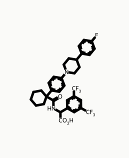 O=C(O)C(NC(=O)C1(c2ccc(N3CCC(c4ccc(F)cc4)CC3)cc2)CCCCC1)c1cc(C(F)(F)F)cc(C(F)(F)F)c1